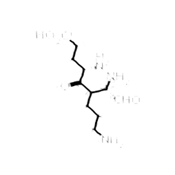 NCCCC(C(=O)[C@@H](N)CCC(=O)O)[C@H](N)C=O